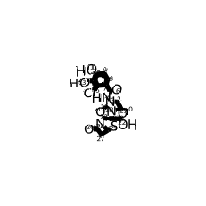 C[C@@H]1CN(NC(=O)c2ccc(O)c(O)c2Cl)C(=O)N1C1(C(=O)O)CN2C(=O)CC2S1